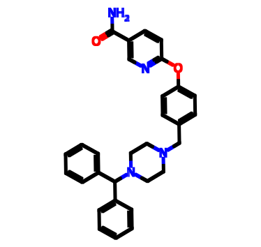 NC(=O)c1ccc(Oc2ccc(CN3CCN(C(c4ccccc4)c4ccccc4)CC3)cc2)nc1